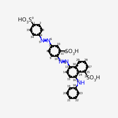 O=S(=O)(O)c1ccc(/N=N/c2ccc(/N=N/c3ccc(Nc4ccccc4)c4c(S(=O)(=O)O)cccc34)c(S(=O)(=O)O)c2)cc1